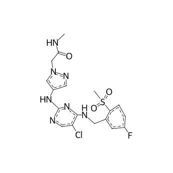 CNC(=O)Cn1cc(Nc2ncc(Cl)c(NCc3cc(F)ccc3S(C)(=O)=O)n2)cn1